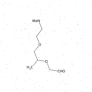 CNCCOCC(C)OCC=O